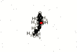 CC(C)Nc1cccc(Cc2ccc([C@H]3O[C@@H]4C[C@H]5[C@@H]6CCC7=CC(=O)C=C[C@]7(C)[C@H]6[C@@H](O)C[C@]5(C)[C@]4(C(=O)CO)O3)cc2O)c1